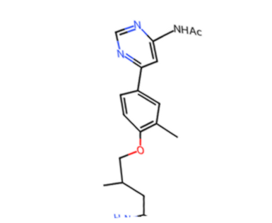 CC(=O)Nc1cc(-c2ccc(OCC(C)CC(C)N)c(C)c2)ncn1